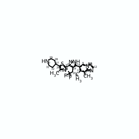 Cc1nc(-c2n[nH]c(-c3cn4ncnc4c(C)c3C)c2CC(F)(F)F)sc1C1CCNCC1